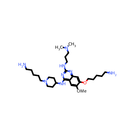 COc1cc2c(NC3CCN(CCCCCN)CC3)nc(NCCCN(C)C)nc2cc1OCCCCCN